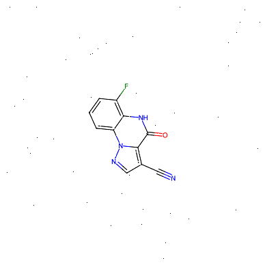 N#Cc1cnn2c1c(=O)[nH]c1c(F)cccc12